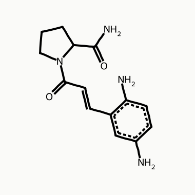 NC(=O)C1CCCN1C(=O)C=Cc1cc(N)ccc1N